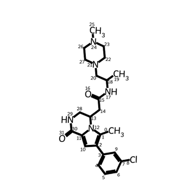 Cc1c(-c2cccc(Cl)c2)cc2n1C(CC(=O)NC(C)CN1CCN(C)CC1)CNC2=O